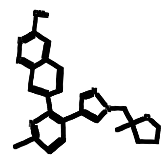 COc1cc2ccc(-c3nc(C)ccc3-c3cnn(CC4(C)CCCO4)c3)cc2nn1